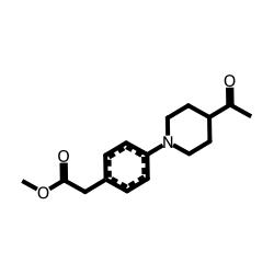 COC(=O)Cc1ccc(N2CCC(C(C)=O)CC2)cc1